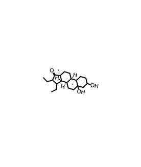 CCC1C(=O)[C@@]2(C)CC[C@@H]3[C@@H](CCC4(O)CC(O)CC[C@]34C)[C@@H]2C1CC